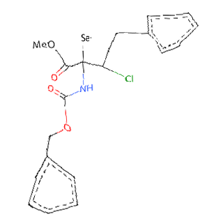 COC(=O)C([Se])(NC(=O)OCc1ccccc1)C(Cl)Cc1ccccc1